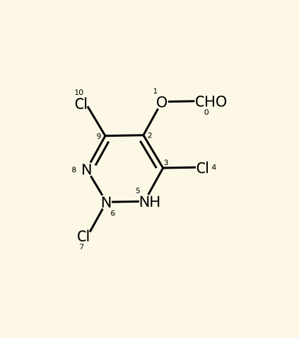 O=COC1=C(Cl)NN(Cl)N=C1Cl